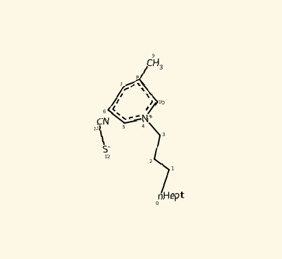 CCCCCCCCCC[n+]1cccc(C)c1.N#C[S-]